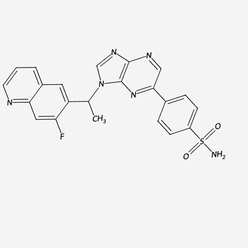 CC(c1cc2cccnc2cc1F)n1cnc2ncc(-c3ccc(S(N)(=O)=O)cc3)nc21